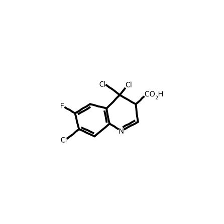 O=C(O)C1C=Nc2cc(Cl)c(F)cc2C1(Cl)Cl